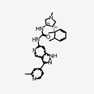 Cc1cc(-c2n[nH]c3cc(NC(=O)N[C@H]4CN(C)C[C@@H]4C4(C)C=CC=CC4C)ncc23)ccn1